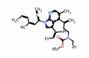 C=C=C(/C=C(C#N)\C=C/C)n1cc(/C(=C\CC)CCC)c2c(C(=C)CCN(CC(C)C)C(=O)OC(C)(C)C)c(C)cnc21